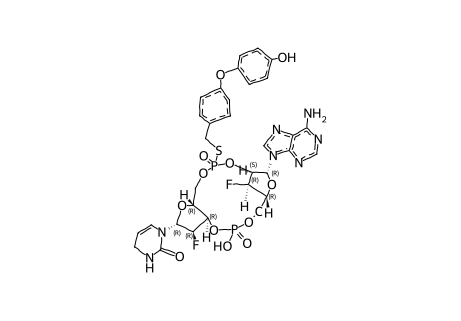 Nc1ncnc2c1ncn2[C@@H]1O[C@@H]2COP(=O)(O)O[C@H]3[C@@H](F)[C@H](N4C=CCNC4=O)O[C@@H]3COP(=O)(SCc3ccc(Oc4ccc(O)cc4)cc3)O[C@@H]1[C@@H]2F